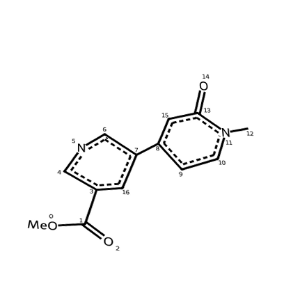 COC(=O)c1cncc(-c2ccn(C)c(=O)c2)c1